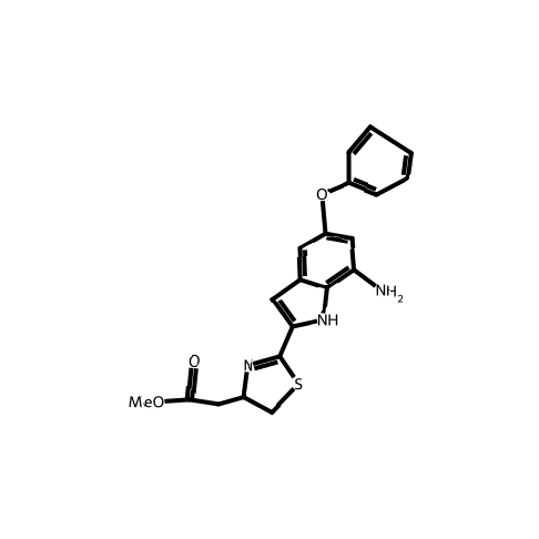 COC(=O)CC1CSC(c2cc3cc(Oc4ccccc4)cc(N)c3[nH]2)=N1